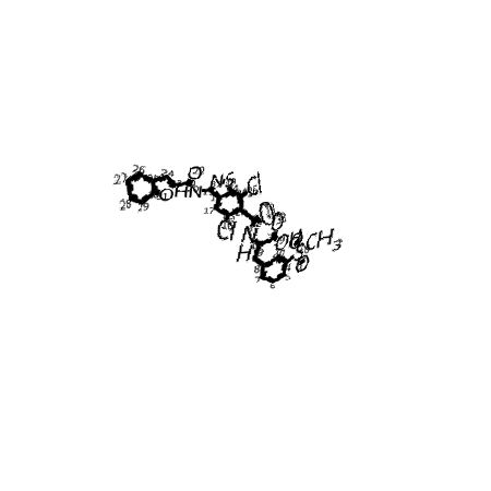 CS(=O)(=O)c1cccc(CC(NC(=O)c2c(Cl)cc3c(NC(=O)c4cc5ccccc5o4)nsc3c2Cl)C(=O)O)c1